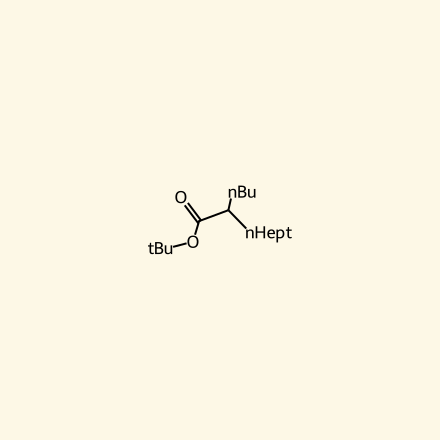 CCCCCCCC(CCCC)C(=O)OC(C)(C)C